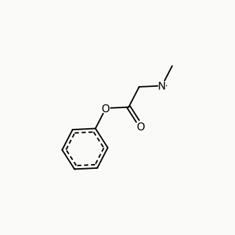 C[N]CC(=O)Oc1ccccc1